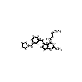 COCCNc1nc(C)nc2ccn(Cc3cccc(CN4CCCC4)c3)c12